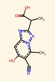 Cc1c(C#N)c(O)cc2nc(C(C)C(=O)O)nn12